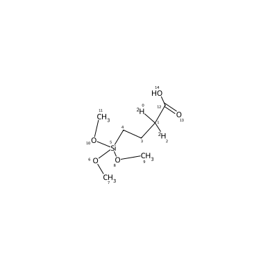 [2H]C([2H])(CC[Si](OC)(OC)OC)C(=O)O